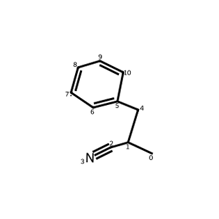 CC(C#N)Cc1c[c]ccc1